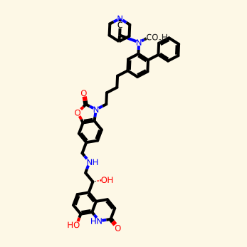 O=C(O)N(c1cc(CCCCn2c(=O)oc3cc(CNC[C@H](O)c4ccc(O)c5[nH]c(=O)ccc45)ccc32)ccc1-c1ccccc1)C1CN2CCC1CC2